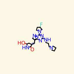 O=C1NC(O)C/C1=C\c1cnn2c(N3CCC(F)C3)nc(NCCCN3CCCC3)nc12